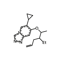 C=CCC(CC)C(C)Oc1cc2nncn2cc1C1CC1